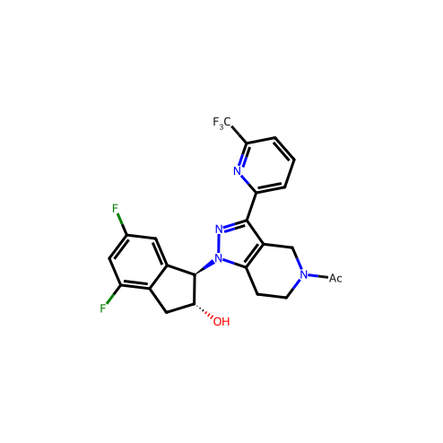 CC(=O)N1CCc2c(c(-c3cccc(C(F)(F)F)n3)nn2[C@@H]2c3cc(F)cc(F)c3C[C@H]2O)C1